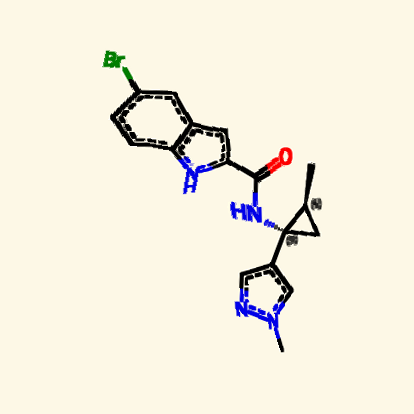 C[C@H]1C[C@@]1(NC(=O)c1cc2cc(Br)ccc2[nH]1)c1cnn(C)c1